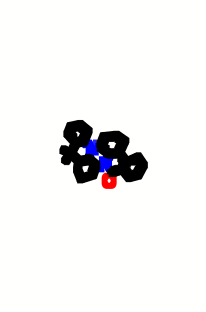 CC1(C)C2=C3C(=CCC2)n2c(=O)c4ccccc4c4cccc(c42)N3c2ccccc21